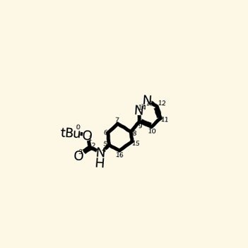 CC(C)(C)OC(=O)NC1CCC(c2cccnn2)CC1